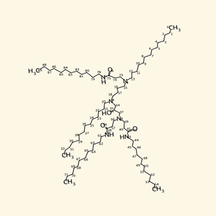 CCCCCCCCCCCCCCN(CCCCN(CCCCCCCCCCCCCC)CC(O)CN(CCC(=O)NCCCCCCCCCCCC)CCC(=O)NCCCCCCCCCCCC)CCC(=O)NCCCCCCCCCCCC